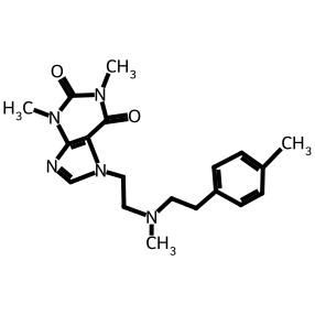 Cc1ccc(CCN(C)CCn2cnc3c2c(=O)n(C)c(=O)n3C)cc1